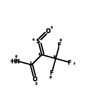 [NH]C(=O)C(=S=O)C(F)(F)F